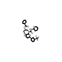 O=C(O[C@@H]1CNc2ccc(-c3cccc(C(F)(F)F)c3)nc2N(C(=O)Nc2ccccn2)C1)c1ccccc1